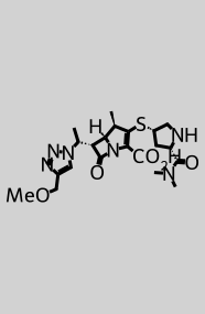 COCc1cn(C(C)[C@H]2C(=O)N3C(C(=O)O)=C(S[C@@H]4CN[C@H](C(=O)N(C)C)C4)[C@H](C)[C@H]23)nn1